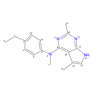 CCc1ccc(N(C)c2nc(C)nc3[nH]cc(C)c23)cc1